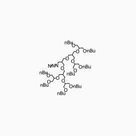 CCCCOCC(COCCCC)OCC(COCC(CN=[N+]=[N-])COCC(COC(COCCCC)COCCCC)COC(COCCCC)COCCCC)COC(COCCCC)COCCCC